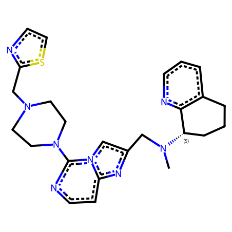 CN(Cc1cn2c(N3CCN(Cc4nccs4)CC3)nccc2n1)[C@H]1CCCc2cccnc21